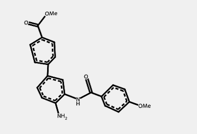 COC(=O)c1ccc(-c2ccc(N)c(NC(=O)c3ccc(OC)cc3)c2)cc1